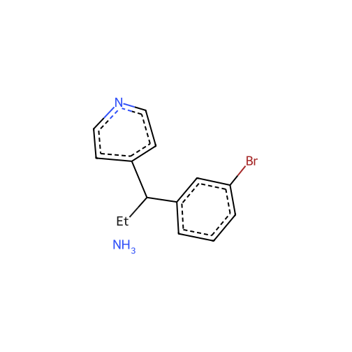 CCC(c1ccncc1)c1cccc(Br)c1.N